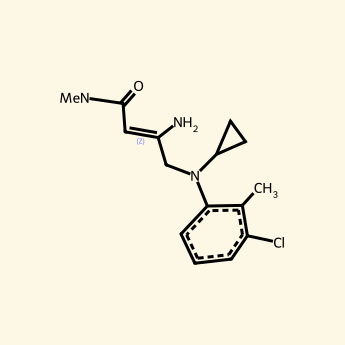 CNC(=O)/C=C(\N)CN(c1cccc(Cl)c1C)C1CC1